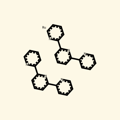 [Ru].c1ccc(-c2cccc(-c3ccccn3)n2)nc1.c1ccc(-c2cccc(-c3ccccn3)n2)nc1